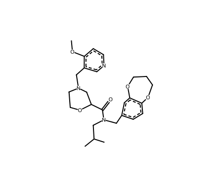 COc1ccncc1CN1CCOC(C(=O)N(Cc2ccc3c(c2)OCCCO3)CC(C)C)C1